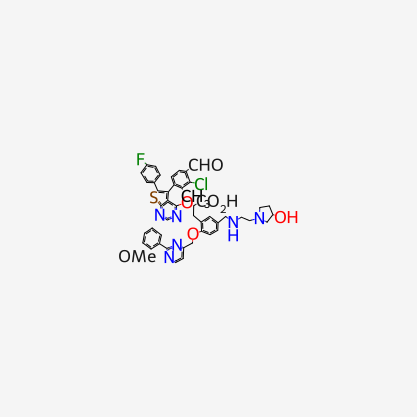 COc1ccccc1-c1nccc(COc2ccc(CNCCN3CCC(O)C3)cc2CC(Oc2ncnc3sc(-c4ccc(F)cc4)c(-c4ccc(C=O)c(Cl)c4C)c23)C(=O)O)n1